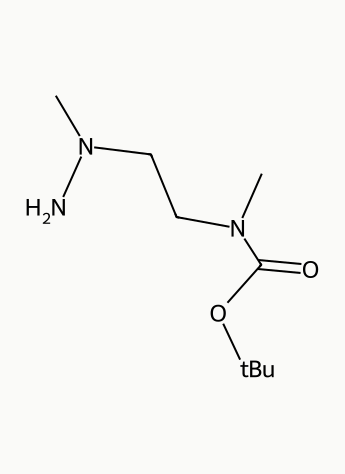 CN(N)CCN(C)C(=O)OC(C)(C)C